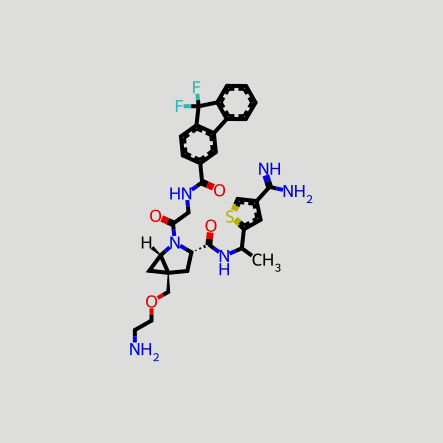 CC(NC(=O)[C@@H]1C[C@]2(COCCN)C[C@@H]2N1C(=O)CNC(=O)c1ccc2c(c1)-c1ccccc1C2(F)F)c1cc(C(=N)N)cs1